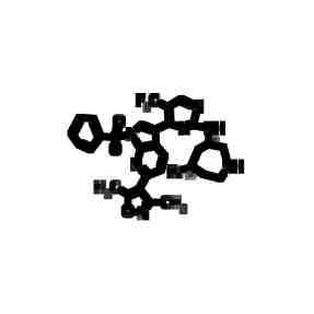 CC[C@@H]1CCNC[C@H](Nc2ncc(C(F)(F)F)c(-c3cn(S(=O)(=O)c4ccccc4)c4nc(-c5c(C)noc5C)ccc34)n2)C1